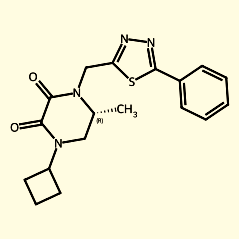 C[C@@H]1CN(C2CCC2)C(=O)C(=O)N1Cc1nnc(-c2ccccc2)s1